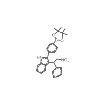 CC1(C)OB(c2ccc(-c3[nH]c4ccccc4c3C(C[N+](=O)[O-])c3ccccc3)cc2)OC1(C)C